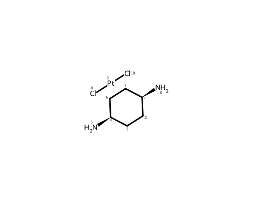 N[C@H]1CC[C@@H](N)CC1.[Cl][Pt][Cl]